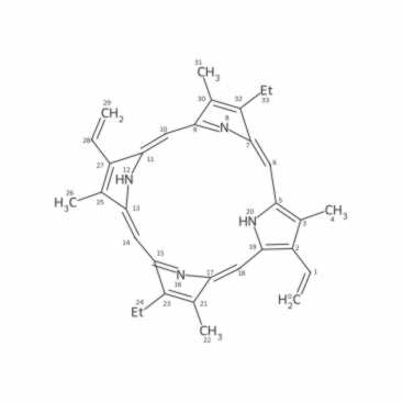 C=Cc1c(C)c2cc3nc(cc4[nH]c(cc5nc(cc1[nH]2)C(C)=C5CC)c(C)c4C=C)C(C)=C3CC